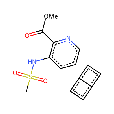 COC(=O)c1ncccc1NS(C)(=O)=O.c1cc2ccc1-2